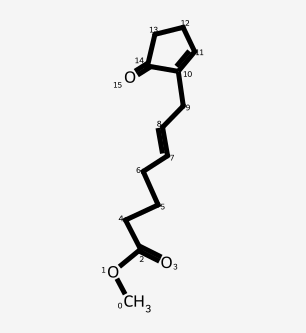 COC(=O)CCCC=CCC1=CCCC1=O